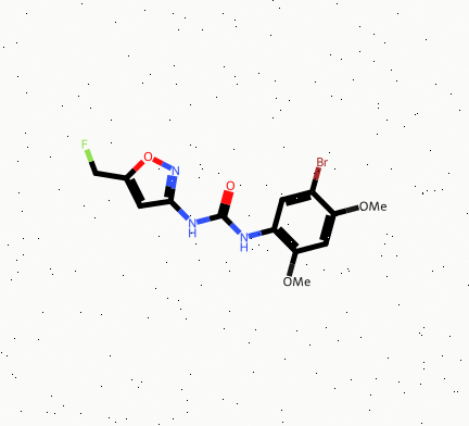 COc1cc(OC)c(NC(=O)Nc2cc(CF)on2)cc1Br